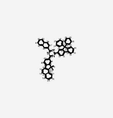 CC1(C)c2cc(-c3nc(-c4ccc5c(c4)C(c4ccccc4)(c4ccccc4)c4ccccc4-5)nc(-c4ccc5ccccc5c4)n3)ccc2-c2ccc3ccccc3c21